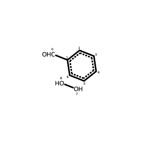 O=Cc1ccccc1.OO